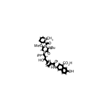 CC[C@H](C)[C@H](NC(=O)[C@H]1CCCCN1C)C(=O)N(CCOC)[C@H](C[C@@H](O)c1nc(C(=O)N[C@H]2Cc3ccc(O)cc3[C@H](C(=O)O)C2)cs1)C(C)C